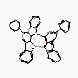 c1ccc(-c2cc(-c3ccccc3)nc(-n3c4ccccc4c4c(-c5ccccc5)cc5c6ccccc6n(-c6ccccc6)c5c43)c2)cc1